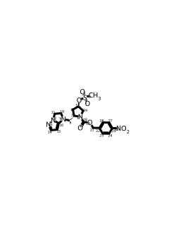 CS(=O)(=O)O[C@@H]1C[C@@H](CN2CCn3nccc32)N(C(=O)OCc2ccc([N+](=O)[O-])cc2)C1